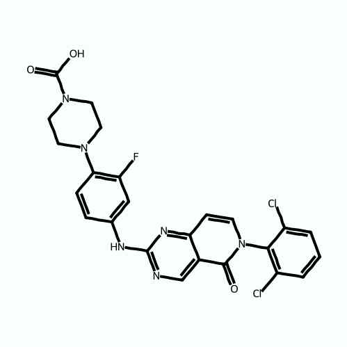 O=C(O)N1CCN(c2ccc(Nc3ncc4c(=O)n(-c5c(Cl)cccc5Cl)ccc4n3)cc2F)CC1